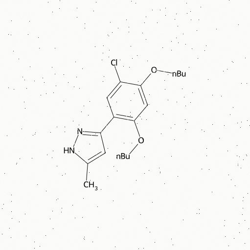 CCCCOc1cc(OCCCC)c(-c2cc(C)[nH]n2)cc1Cl